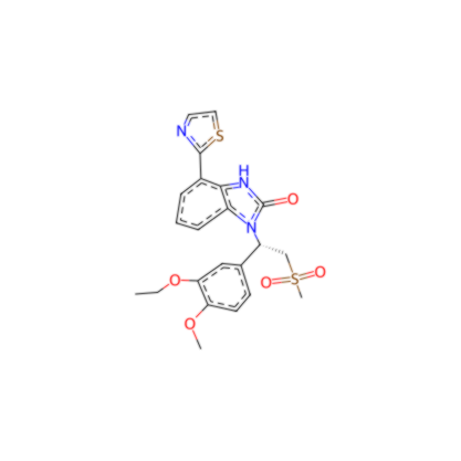 CCOc1cc([C@@H](CS(C)(=O)=O)n2c(=O)[nH]c3c(-c4nccs4)cccc32)ccc1OC